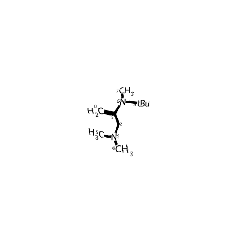 C=C(CN(C)C)N(C)C(C)(C)C